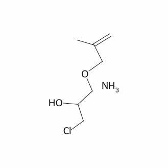 C=C(C)COCC(O)CCl.N